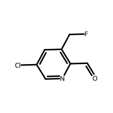 O=Cc1ncc(Cl)cc1CF